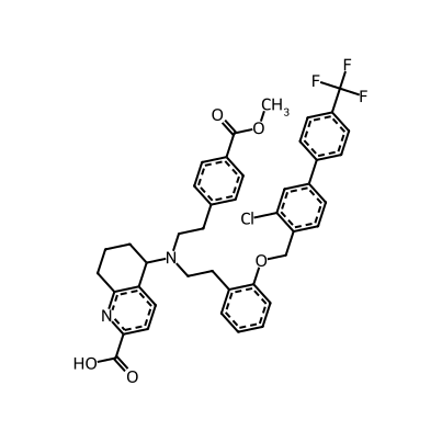 COC(=O)c1ccc(CCN(CCc2ccccc2OCc2ccc(-c3ccc(C(F)(F)F)cc3)cc2Cl)C2CCCc3nc(C(=O)O)ccc32)cc1